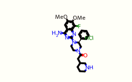 COc1cc2c(N)nc(N3CCN(C(=O)CC4CCCNC4)C[C@@H]3c3ccccc3)nc2c(F)c1OC.Cl